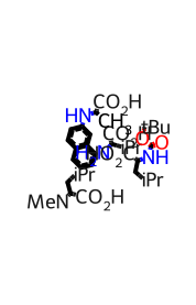 CC(C)C(N)C(=O)O.CC(C)CC(NC(=O)OC(C)(C)C)C(=O)O.CC(Nc1ccc2ccccc2c1)C(=O)O.CNC(CC(C)C)C(=O)O